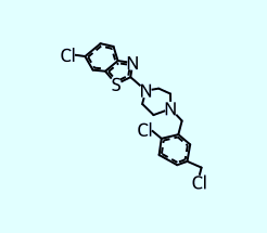 ClCc1ccc(Cl)c(CN2CCN(c3nc4ccc(Cl)cc4s3)CC2)c1